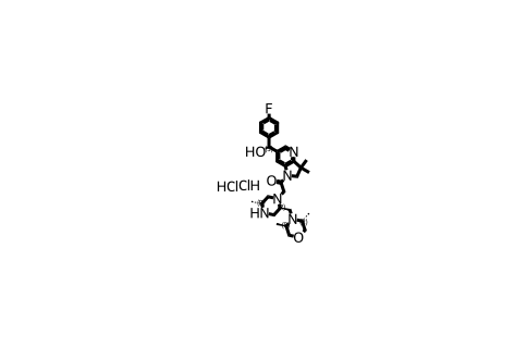 C[C@@H]1CN(CC(=O)N2CC(C)(C)c3ncc([C@@H](O)c4ccc(F)cc4)cc32)[C@@H](CN2[C@H](C)COC[C@H]2C)CN1.Cl.Cl